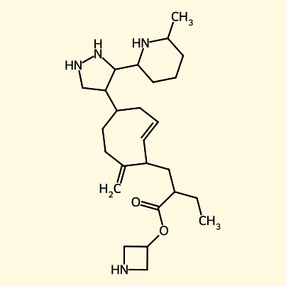 C=C1CCC(C2CNNC2C2CCCC(C)N2)C/C=C/C1CC(CC)C(=O)OC1CNC1